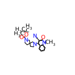 Cn1c(=O)c(C#N)c(N2CCC3(CCN(C(=O)OC(C)(C)C)C3)C2)c2ccccc21